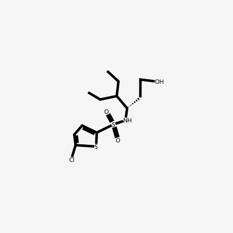 CCC(CC)[C@H](CCO)NS(=O)(=O)c1ccc(Cl)s1